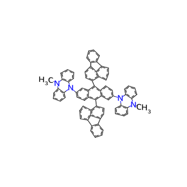 CN1c2ccccc2N(c2ccc3c(-c4ccc5c6c(cccc46)-c4ccccc4-5)c4cc(N5c6ccccc6N(C)c6ccccc65)ccc4c(-c4ccc5c6c(cccc46)-c4ccccc4-5)c3c2)c2ccccc21